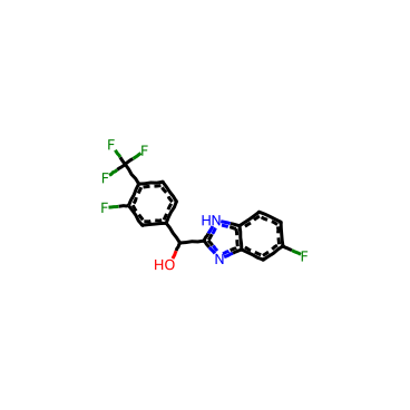 OC(c1ccc(C(F)(F)F)c(F)c1)c1nc2cc(F)ccc2[nH]1